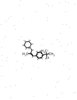 CCC(C)(C)c1ccc(C=C(C)CN2CCCCC2)cc1